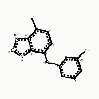 Cc1ccc(Nc2cccc(F)c2)c2nonc12